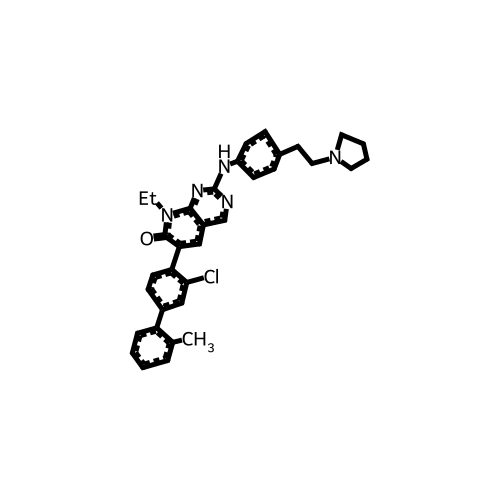 CCn1c(=O)c(-c2ccc(-c3ccccc3C)cc2Cl)cc2cnc(Nc3ccc(CCN4CCCC4)cc3)nc21